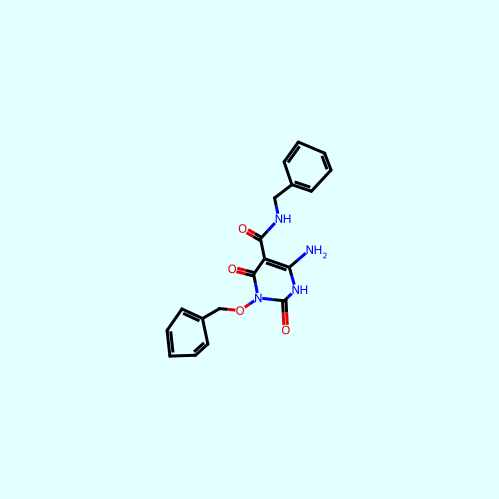 Nc1[nH]c(=O)n(OCc2ccccc2)c(=O)c1C(=O)NCc1ccccc1